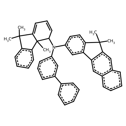 CC1(C)C2=CC=CC(N(c3cccc(-c4ccccc4)c3)c3ccc4c(c3)-c3cc5ccccc5cc3C4(C)C)C2(C)c2ccccc21